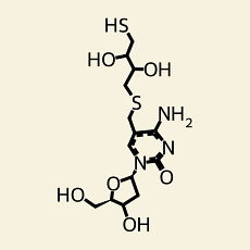 Nc1nc(=O)n([C@H]2CC(O)[C@@H](CO)O2)cc1CSCC(O)C(O)CS